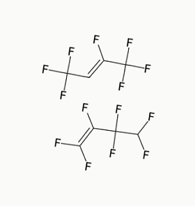 FC(=CC(F)(F)F)C(F)(F)F.FC(F)=C(F)C(F)(F)C(F)F